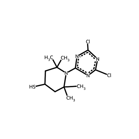 CC1(C)CC(S)CC(C)(C)N1c1nc(Cl)nc(Cl)n1